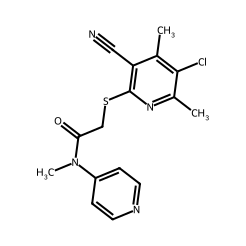 Cc1nc(SCC(=O)N(C)c2ccncc2)c(C#N)c(C)c1Cl